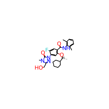 Cc1cccc(C)c1NC(=O)c1cc(F)c(-n2nc(CO)n(C)c2=O)cc1O[C@H](C)C1CCCCC1